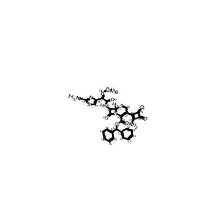 CO/N=C(\C(=O)NC1C(=O)N2C(C(=O)OC(c3ccccc3)c3ccccc3)=C(c3c(N)c(=O)c3=O)CS[C@@H]12)c1csc(N)n1